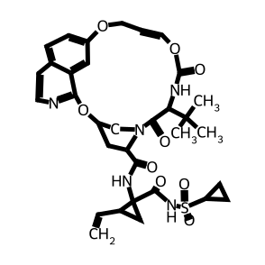 C=CC1CC1(NC(=O)C1CC2CN1C(=O)C(C(C)(C)C)NC(=O)O/C=C/COc1ccc3ccnc(c3c1)O2)C(=O)NS(=O)(=O)C1CC1